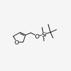 CC(C)(C)[Si](C)(C)OCC1=CCOC1